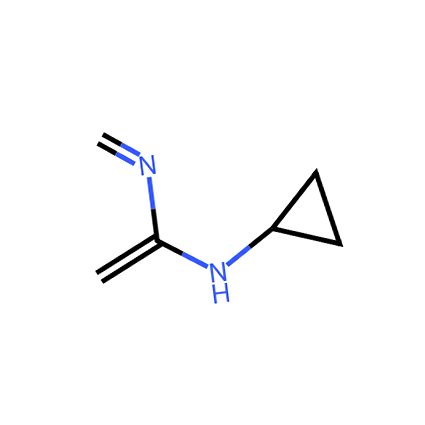 C=NC(=C)NC1CC1